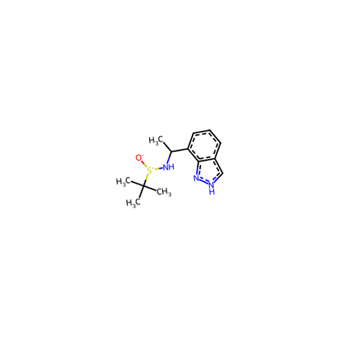 CC(N[S+]([O-])C(C)(C)C)c1cccc2c[nH]nc12